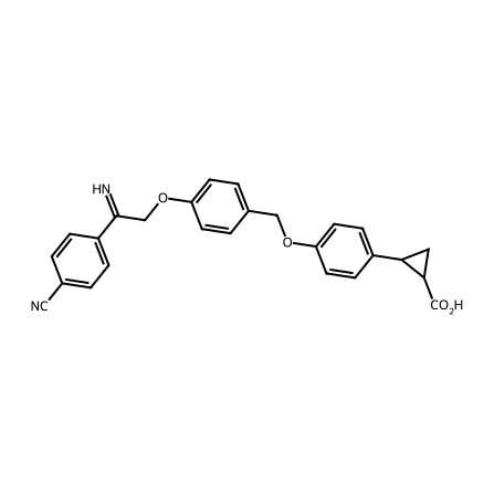 N#Cc1ccc(C(=N)COc2ccc(COc3ccc(C4CC4C(=O)O)cc3)cc2)cc1